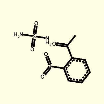 CC(=O)c1ccccc1I(=O)=O.NS(N)(=O)=O